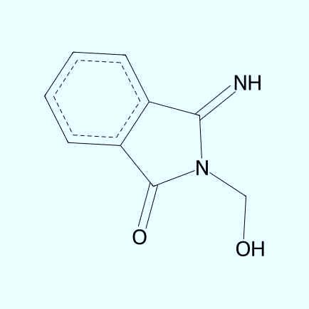 N=C1c2ccccc2C(=O)N1CO